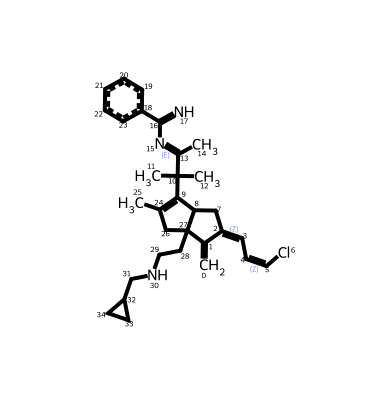 C=C1/C(=C\C=C/Cl)CC2C(C(C)(C)/C(C)=N/C(=N)c3ccccc3)=C(C)CC12CCNCC1CC1